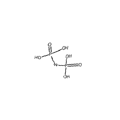 O=P(O)(O)[N]P(=O)(O)O